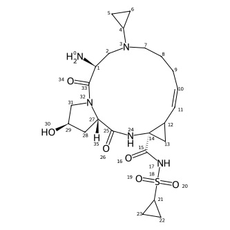 N[C@H]1CN(C2CC2)CCC/C=C\C2C[C@@]2(C(=O)NS(=O)(=O)C2CC2)NC(=O)[C@@H]2C[C@@H](O)CN2C1=O